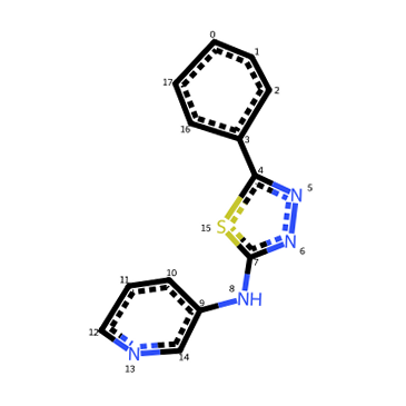 c1ccc(-c2nnc(Nc3cccnc3)s2)cc1